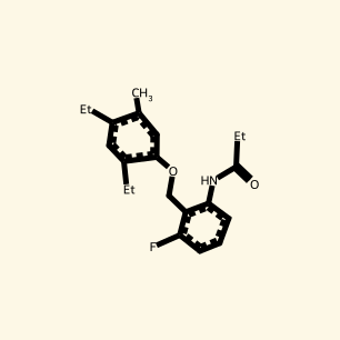 CCC(=O)Nc1cccc(F)c1COc1cc(C)c(CC)cc1CC